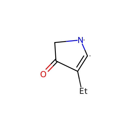 CCC1=[C][N]CC1=O